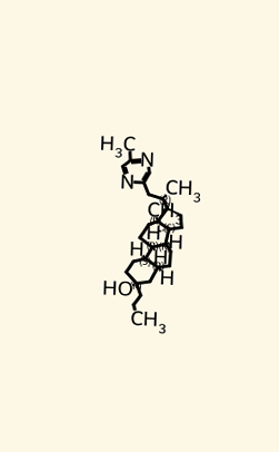 CCC[C@@]1(O)CC[C@H]2[C@H](CC[C@@H]3[C@@H]2CC[C@]2(C)[C@@H]([C@H](C)Cc4cnc(C)cn4)CC[C@@H]32)C1